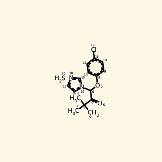 CC(C)(C)C(=O)C(Oc1ccc(Cl)cc1)n1ccnc1.S